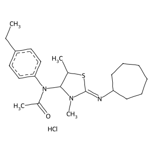 CCc1ccc(N(C(C)=O)C2C(C)SC(=NC3CCCCCC3)N2C)cc1.Cl